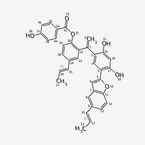 C=C(c1cc(-c2cc3cc(/C=C/C)ccc3o2)c(O)cc1O)c1cc(/C=C/C)ccc1OC(=O)c1ccc(O)cc1